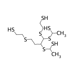 CC(S)SC(CCSCCS)C(SCCS)SC(C)S